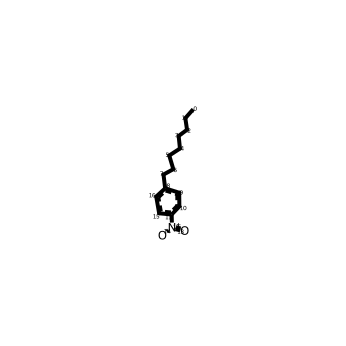 [CH2]CCCCCCCc1ccc([N+](=O)[O-])cc1